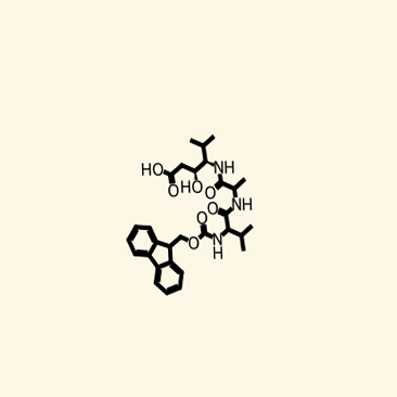 CC(NC(=O)C(NC(=O)OCC1c2ccccc2-c2ccccc21)C(C)C)C(=O)N[C@H](C(C)C)[C@@H](O)CC(=O)O